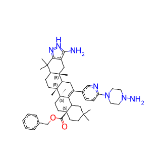 CC1(C)CC[C@]2(C(=O)OCc3ccccc3)CC[C@]3(C)C(=C(c4ccc(N5CCN(N)CC5)nc4)CC4[C@@]5(C)Cc6c(n[nH]c6N)C(C)(C)C5CC[C@]43C)C2C1